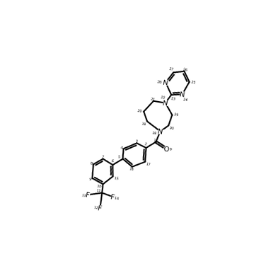 O=C(c1ccc(-c2cccc(C(F)(F)F)c2)cc1)N1CCCN(c2ncccn2)CC1